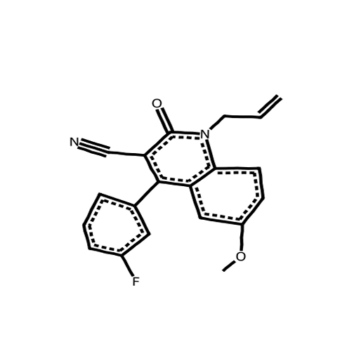 C=CCn1c(=O)c(C#N)c(-c2cccc(F)c2)c2cc(OC)ccc21